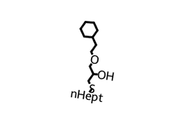 CCCCCCCSCC(O)COCCC1CCCCC1